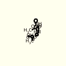 CCCCN1C(=O)[C@@H](CC2(O)CCCCCC2)NC(=O)C12CCN(Cc1ccc(Oc3ccc(C(=O)O)cc3OC)cc1)CC2.Cl